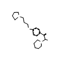 CC(C(=O)c1ccc(OCCCN2CCCC2)cc1)N1CCCCC1